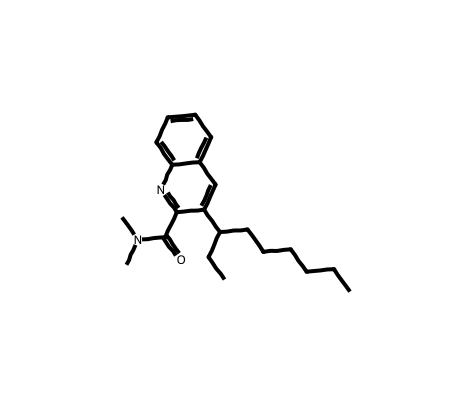 CCCCCCC(CC)c1cc2ccccc2nc1C(=O)N(C)C